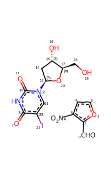 O=Cc1occc1[N+](=O)[O-].O=c1[nH]c(=O)n([C@H]2C[C@H](O)[C@@H](CO)O2)cc1I